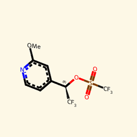 COc1cc([C@@H](OS(=O)(=O)C(F)(F)F)C(F)(F)F)ccn1